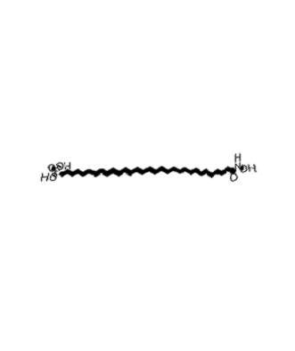 O=C(CCCCCCCCCCCCCCCCCCCCCCCCCCCCCCP(=O)(O)O)NO